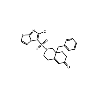 O=C1C=C2CCN(S(=O)(=O)c3c(Cl)nc4sccn34)CC2(Cc2ccccc2)CC1